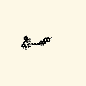 C[C@@]12CCC(=O)C[C@H]1CC[C@H]1[C@H]2CC[C@]2(C)[C@@H]1CC[C@]2(O)CCCCCCN1CCN(C(=O)c2cc(Cc3n[nH]c(=O)c4ccccc34)ccc2F)CC1